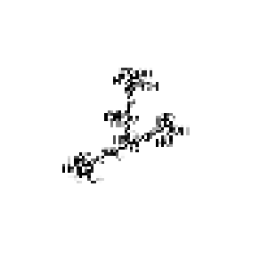 CC(=O)NC1C(OCCOCCNC(=O)CCC(NC(=O)CCC(NC(=O)C2CCCCC2)C(=O)NCCOCCOC2OC(CO)C(O)C(O)C2NC(C)=O)C(=O)NCCOCCOC2OC(CO)C(O)C(O)C2NC(C)=O)OC(CO)C(O)C1O